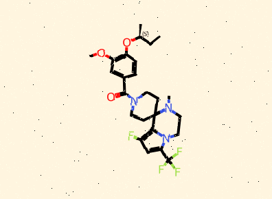 CC[C@H](C)Oc1ccc(C(=O)N2CCC3(CC2)c2c(F)cc(C(F)(F)F)n2CCN3C)cc1OC